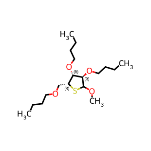 CCCCOC[C@H]1SC(OC)[C@H](OCCCC)[C@H]1OCCCC